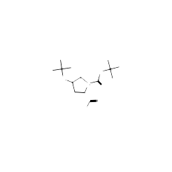 CC(C)(C)OC(=O)N1CC(OC(C)(C)C)C[C@H]1C(=O)O